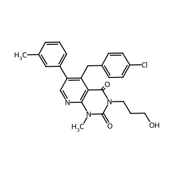 Cc1cccc(-c2cnc3c(c2Cc2ccc(Cl)cc2)c(=O)n(CCCO)c(=O)n3C)c1